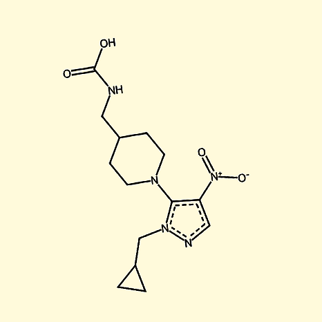 O=C(O)NCC1CCN(c2c([N+](=O)[O-])cnn2CC2CC2)CC1